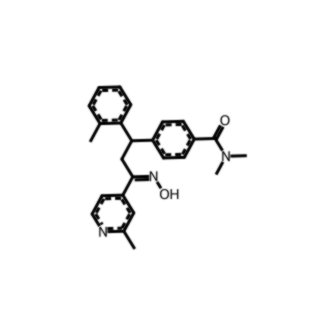 Cc1cc(C(CC(c2ccc(C(=O)N(C)C)cc2)c2ccccc2C)=NO)ccn1